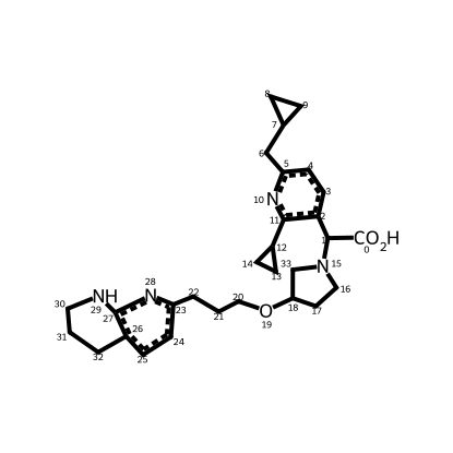 O=C(O)C(c1ccc(CC2CC2)nc1C1CC1)N1CCC(OCCCc2ccc3c(n2)NCCC3)C1